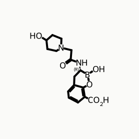 O=C(CN1CCC(O)CC1)N[C@H]1Cc2cccc(C(=O)O)c2OB1O